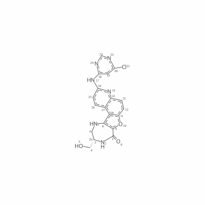 O=C1N[C@H](CO)CNc2c1oc1ccc3nc(Nc4cc(Cl)ncn4)ccc3c21